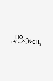 CC(C)CC1(O)CN(C)C1